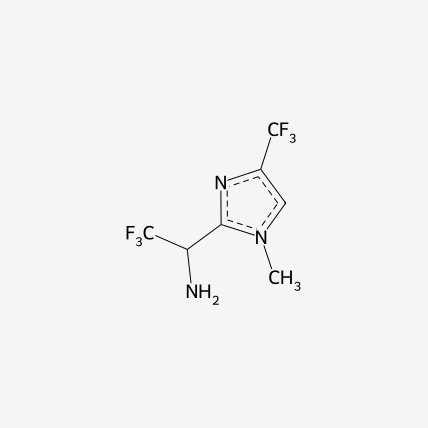 Cn1cc(C(F)(F)F)nc1C(N)C(F)(F)F